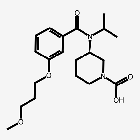 COCCCOc1cccc(C(=O)N(C(C)C)[C@@H]2CCCN(C(=O)O)C2)c1